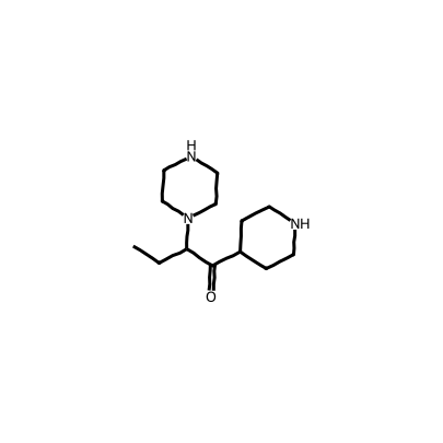 CCC(C(=O)C1CCNCC1)N1CCNCC1